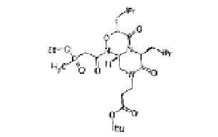 CCOP(C)(=O)CC(=O)N1O[C@H](CC(C)C)C(=O)N2[C@@H]1CN(CCC(=O)OC(C)(C)C)C(=O)[C@@H]2CC(C)C